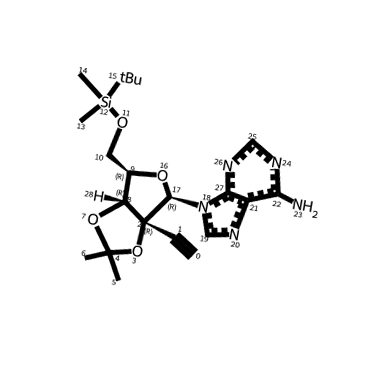 C#C[C@@]12OC(C)(C)O[C@@H]1[C@@H](CO[Si](C)(C)C(C)(C)C)O[C@H]2n1cnc2c(N)ncnc21